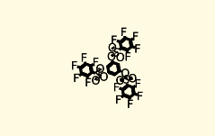 O=S(=O)(Oc1cc(OS(=O)(=O)c2c(F)c(F)c(F)c(F)c2F)cc(OS(=O)(=O)c2c(F)c(F)c(F)c(F)c2F)c1)c1c(F)c(F)c(F)c(F)c1F